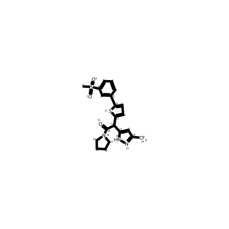 CS(=O)(=O)c1cccc(-c2ccc(C(C(=O)N3CCCC3)c3cc(C(F)(F)F)n[nH]3)s2)c1